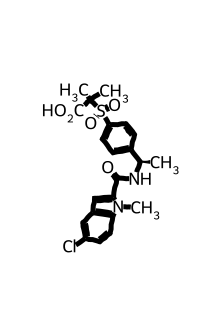 C[C@@H](NC(=O)c1cc2cc(Cl)ccc2n1C)c1ccc(S(=O)(=O)C(C)(C)C(=O)O)cc1